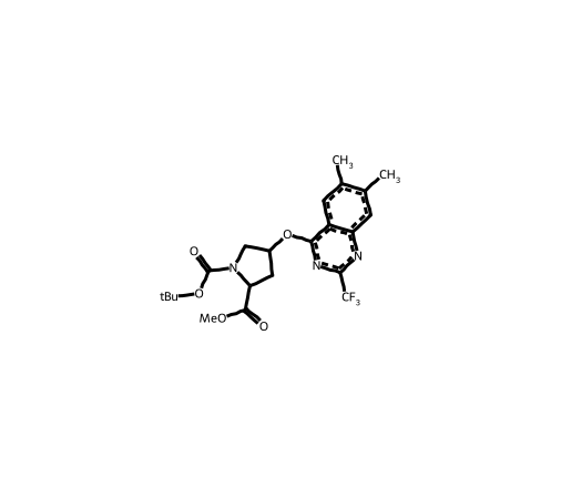 COC(=O)C1CC(Oc2nc(C(F)(F)F)nc3cc(C)c(C)cc23)CN1C(=O)OC(C)(C)C